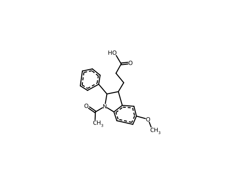 COc1ccc2c(c1)C(CCC(=O)O)C(c1ccccc1)N2C(C)=O